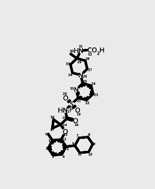 Cc1cccc(C2CCCCC2)c1OC1(C(=O)NS(=O)(=O)c2cccc(N3CCC(C)(NC(=O)O)CC3)n2)CC1